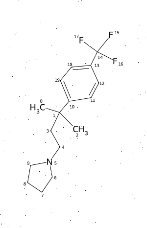 CC(C)(CCN1CCCC1)c1ccc(C(F)(F)F)cc1